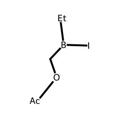 CCB(I)COC(C)=O